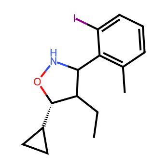 CCC1C(c2c(C)cccc2I)NO[C@H]1C1CC1